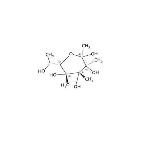 CC(O)[C@@H]1O[C@@](C)(O)[C@@](C)(O)[C@](C)(O)[C@]1(C)O